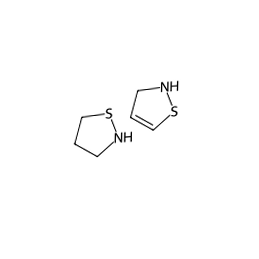 C1=CSNC1.C1CNSC1